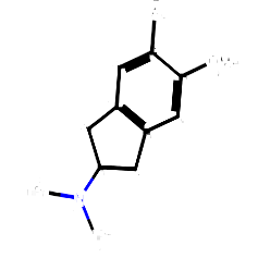 CCCN(CCC)C1Cc2cc(OC)c(C(C)=O)cc2C1